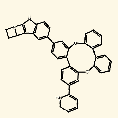 C1=CCNC(c2ccc3c(c2)Oc2ccccc2-c2ccccc2Oc2cc(-c4ccc5[nH]c6c(c5c4)C4CCN64)ccc2-3)=C1